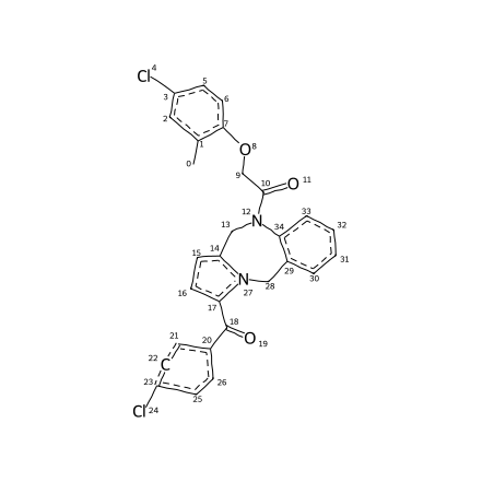 Cc1cc(Cl)ccc1OCC(=O)N1Cc2ccc(C(=O)c3ccc(Cl)cc3)n2Cc2ccccc21